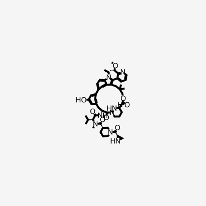 CCn1c(-c2cccnc2[C@H](C)OC)c2c3cc(ccc31)-c1cc(O)cc(c1)C[C@H](NC(=O)[C@H](C(C)C)N(C)C(=O)[C@@H]1CCCN(C(=O)[C@H]3CN3)C1)C(=O)N1CCC[C@H](N1)C(=O)OCC(C)(C)C2